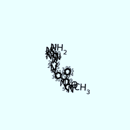 COc1nccc2nc(-c3ccc(CN4CCC(n5ncc6c(N)ncnc65)CC4)cc3)c(-c3ccccc3)cc12